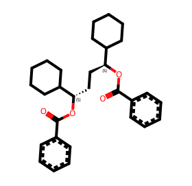 O=C(O[C@@H](CC[C@H](OC(=O)c1ccccc1)C1CCCCC1)C1CCCCC1)c1ccccc1